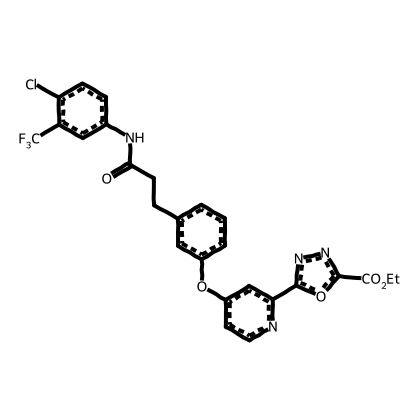 CCOC(=O)c1nnc(-c2cc(Oc3cccc(CCC(=O)Nc4ccc(Cl)c(C(F)(F)F)c4)c3)ccn2)o1